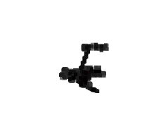 CC#CCOc1ccc(C[C@H](NC(=O)[C@@H](/C=C/CCCCCCC(=O)CCCCCCC)[C@@](O)(CC(=O)OC(C)OC)C(=O)O)C(=O)OC(C)OC(=O)N(C)C)cc1